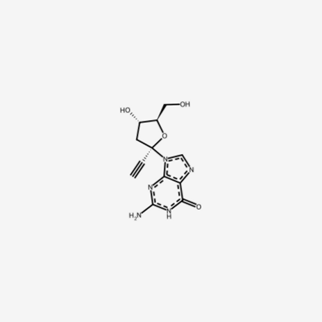 C#C[C@]1(n2cnc3c(=O)[nH]c(N)nc32)C[C@H](O)[C@@H](CO)O1